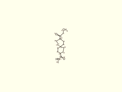 CCC(=O)N1CCC2(CCC(C(=O)NI)CC2)CC1